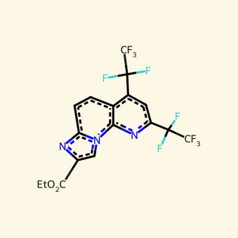 CCOC(=O)c1cn2c(ccc3c(C(F)(F)C(F)(F)F)cc(C(F)(F)C(F)(F)F)nc32)n1